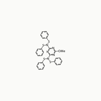 COc1nc(N(Sc2ccccc2)Sc2ccccc2)nc(N(Sc2ccccc2)Sc2ccccc2)n1